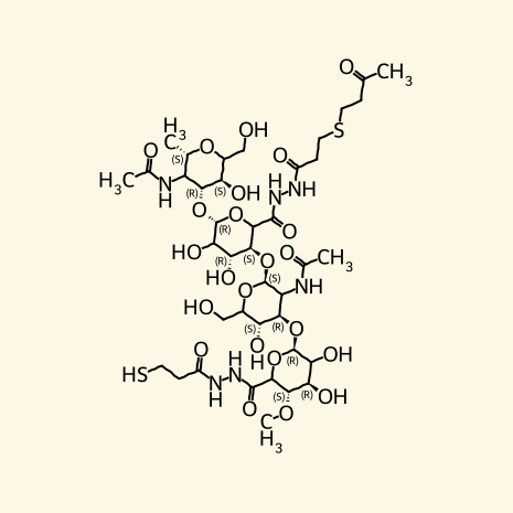 CO[C@@H]1C(C(=O)NNC(=O)CCS)O[C@@H](O[C@@H]2C(NC(C)=O)[C@H](O[C@@H]3C(C(=O)NNC(=O)CCSCCC(C)=O)O[C@@H](O[C@@H]4C(NC(C)=O)[C@H](C)OC(CO)[C@H]4O)C(O)[C@H]3O)OC(CO)[C@H]2O)C(O)[C@H]1O